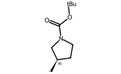 [CH2][C@@H]1CCN(C(=O)OC(C)(C)C)C1